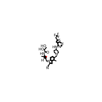 Cc1c(CN2CCC(Nc3ncnc4sc(CC(F)(F)F)cc34)CC2)ccc2c1cc(C#N)n2CC12CC(NC(=O)C(O)CO)(C1)[C@H]2C